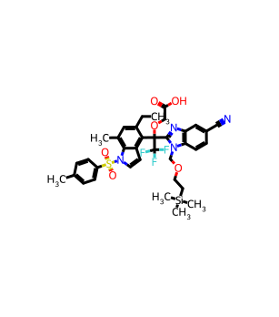 CCc1cc(C)c2c(ccn2S(=O)(=O)c2ccc(C)cc2)c1C(OCC(=O)O)(c1nc2cc(C#N)ccc2n1COCC[Si](C)(C)C)C(F)(F)F